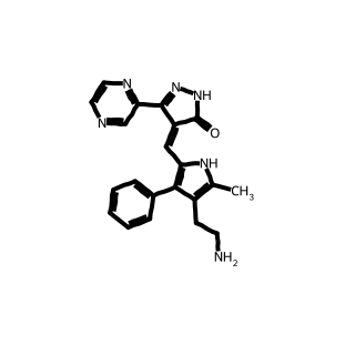 Cc1[nH]c(C=C2C(=O)NN=C2c2cnccn2)c(-c2ccccc2)c1CCN